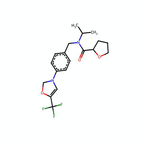 CC(C)N(Cc1ccc(N2C=C(C(F)(F)F)OC2)cc1)C(=O)C1CCCO1